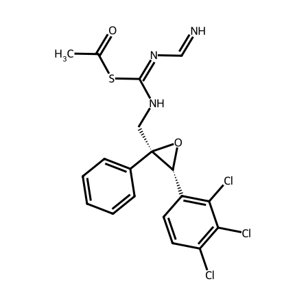 CC(=O)S/C(=N/C=N)NC[C@]1(c2ccccc2)O[C@@H]1c1ccc(Cl)c(Cl)c1Cl